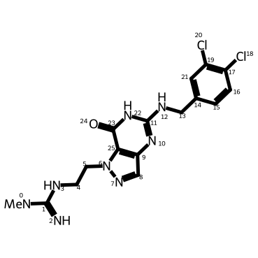 CNC(=N)NCCn1ncc2nc(NCc3ccc(Cl)c(Cl)c3)[nH]c(=O)c21